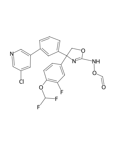 O=CONC1=NC(c2cccc(-c3cncc(Cl)c3)c2)(c2ccc(OC(F)F)c(F)c2)CO1